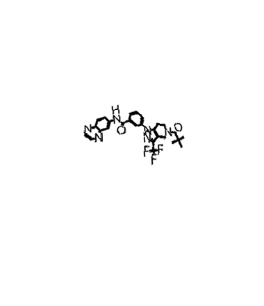 CC(C)(C)C(=O)N1CCc2c(c(C(F)(F)F)nn2-c2cccc(C(=O)Nc3ccc4nccnc4c3)c2)C1